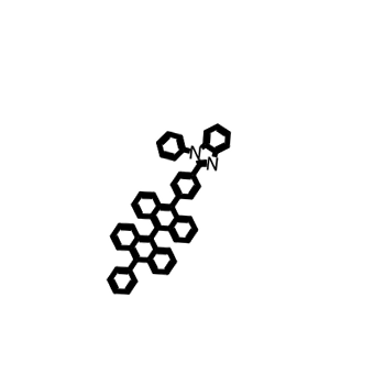 c1ccc(-c2c3ccccc3c(-c3c4ccccc4c(-c4ccc(-c5nc6ccccc6n5-c5ccccc5)cc4)c4ccccc34)c3ccccc23)cc1